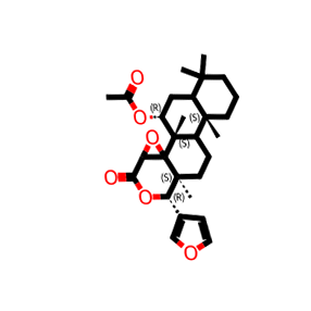 CC(=O)O[C@@H]1CC2C(C)(C)CCC[C@]2(C)C2CC[C@@]3(C)[C@H](c4ccoc4)OC(=O)C4OC43[C@@]21C